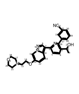 CC(O)c1ccc(-c2cnn3cc(OCCN4CCOCC4)ccc23)nc1-c1cccc(C#N)c1